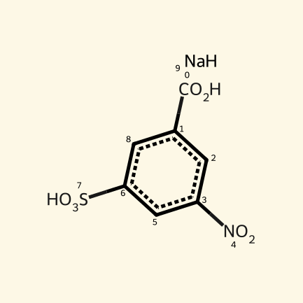 O=C(O)c1cc([N+](=O)[O-])cc(S(=O)(=O)O)c1.[NaH]